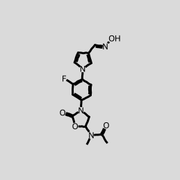 CC(=O)N(C)C1CN(c2ccc(-n3ccc(C=NO)c3)c(F)c2)C(=O)O1